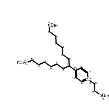 CCCCCCCCCCCCCCCCC(CCCCCCCCCCCCCCCC)c1cc[n+](CCCCCCCCCCCC)cc1